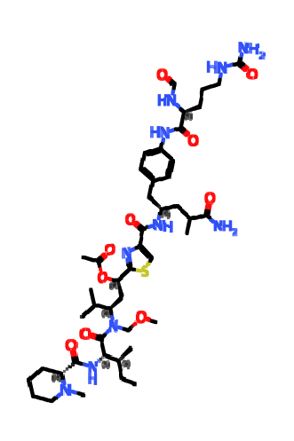 CC[C@H](C)[C@H](NC(=O)[C@H]1CCCCN1C)C(=O)N(COC)[C@H](C[C@@H](OC(C)=O)c1nc(C(=O)N[C@@H](Cc2ccc(NC(=O)[C@H](CCCNC(N)=O)NC=O)cc2)CC(C)C(N)=O)cs1)C(C)C